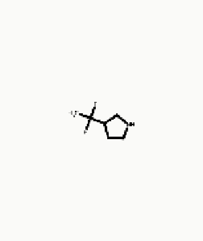 CC(F)(F)C1CCNC1